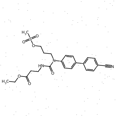 CCOC(=O)CCNC(=O)N(CCCOS(C)(=O)=O)c1ccc(-c2ccc(C#N)cc2)cc1